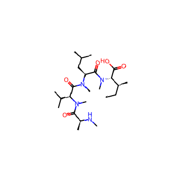 CC[C@H](C)[C@@H](C(=O)O)N(C)C(=O)[C@H](CC(C)C)N(C)C(=O)[C@H](C(C)C)N(C)C(=O)[C@H](C)NC